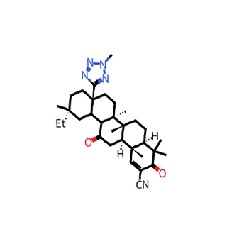 CC[C@]1(C)CC[C@]2(c3nnn(C)n3)CC[C@]3(C)C(C(=O)C[C@@H]4[C@@]5(C)C=C(C#N)C(=O)C(C)(C)[C@@H]5CC[C@]43C)C2C1